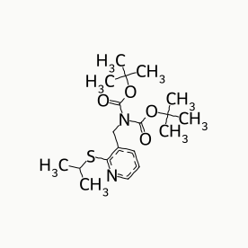 CC(C)Sc1ncccc1CN(C(=O)OC(C)(C)C)C(=O)OC(C)(C)C